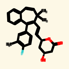 Cc1cc(C2=C(/C=C/[C@@H]3C[C@@H](O)CC(=O)O3)C(C)(C)C=Cc3ccccc32)ccc1F